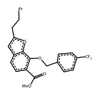 COC(=O)c1ccc2cc(CCC(C)C)sc2c1OCc1ccc(C(F)(F)F)cc1